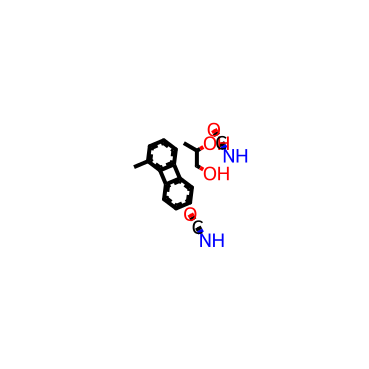 CC(O)CO.Cc1cccc2c1-c1ccccc1-2.N=C=O.N=C=O